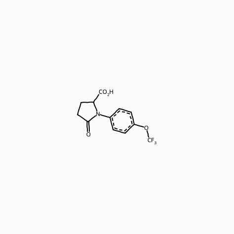 O=C(O)C1CCC(=O)N1c1ccc(OC(F)(F)F)cc1